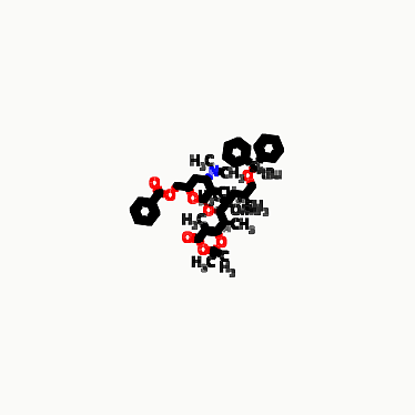 CO[C@](C)(C[C@@H](C)CO[Si](c1ccccc1)(c1ccccc1)C(C)(C)C)[C@H](O[C@@H]1OC(COC(=O)c2ccccc2)CC(N(C)C)C1C)[C@@H](C)C1=C(C)C(=O)OC(C)(C)O1